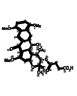 COc1ccc(OC)c2cc3c(cc12)c(=O)c1c(OC)cc2c(c1n3C)[C@H](OC(C)=O)[C@H](OC(=O)CCC(=O)O)C(C)(C)O2